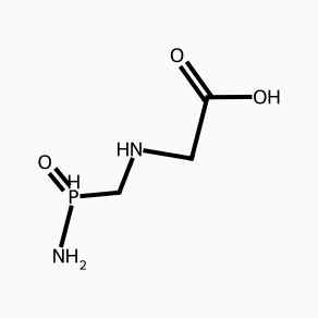 N[PH](=O)CNCC(=O)O